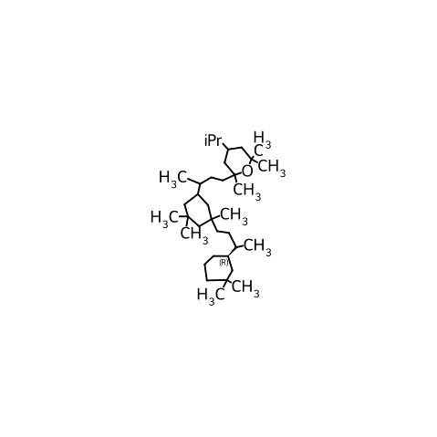 CC(C)C1CC(C)(C)OC(C)(CCC(C)C2CC(C)(C)CC(C)(CCC(C)[C@@H]3CCCC(C)(C)C3)C2)C1